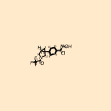 O=C(N1C[C@H]2CC2(c2ccc(/C(Cl)=N/O)cc2)C1)C(F)(F)F